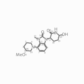 CO[C@@H]1CCCN(c2cccc3c2n(C)c(=O)n3C2CCC(O)NC2=O)C1